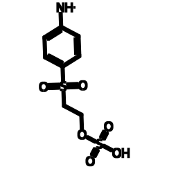 [NH]c1ccc(S(=O)(=O)CCOS(=O)(=O)O)cc1